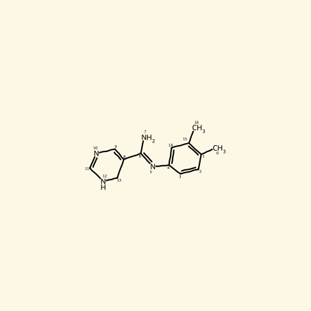 Cc1ccc(N=C(N)C2=CN=CNC2)cc1C